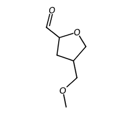 COCC1COC(C=O)C1